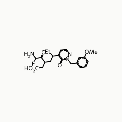 CCC(CC(CC(=O)O)C(=O)C(N)F)c1ccnn(Cc2cccc(OC)c2)c1=O